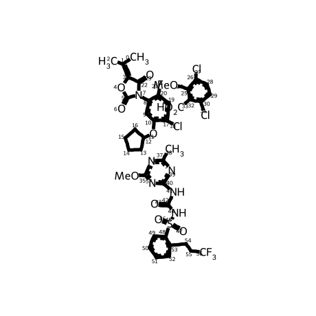 CC(C)=C1OC(=O)N(c2cc(OC3CCCC3)c(Cl)cc2F)C1=O.COc1c(Cl)ccc(Cl)c1C(=O)O.COc1nc(C)nc(NC(=O)NS(=O)(=O)c2ccccc2CCC(F)(F)F)n1